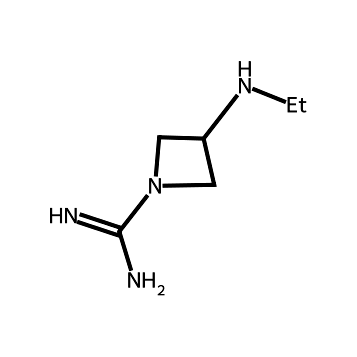 CCNC1CN(C(=N)N)C1